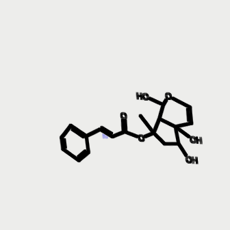 CC1(OC(=O)/C=C/c2ccccc2)CC(O)C2(O)C=COC(O)C12